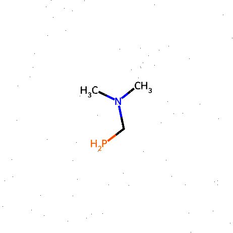 CN(C)CP